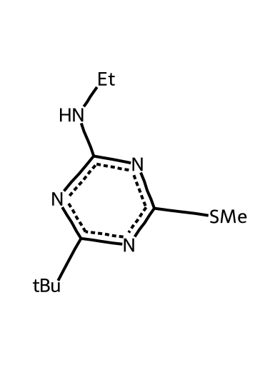 CCNc1nc(SC)nc(C(C)(C)C)n1